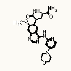 COc1cc2ncnc(Nc3cc(N4CCOCC4)ccn3)c2cc1C(CCC(N)=O)C(N)=O